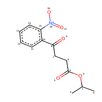 CC(C)OC(=O)CCC(=O)c1ccccc1[N+](=O)[O-]